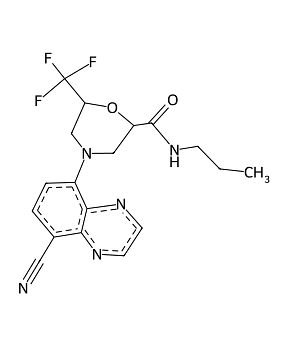 CCCNC(=O)C1CN(c2ccc(C#N)c3nccnc23)CC(C(F)(F)F)O1